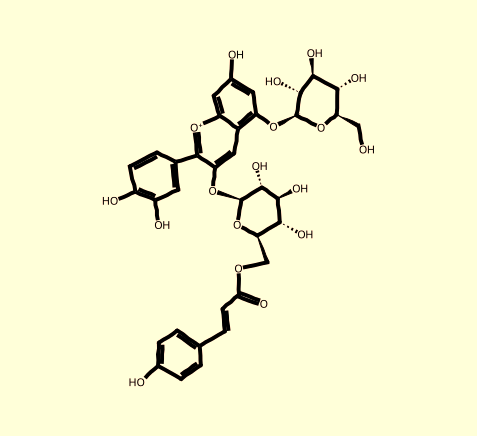 O=C(/C=C/c1ccc(O)cc1)OC[C@H]1O[C@@H](Oc2cc3c(O[C@@H]4O[C@H](CO)[C@@H](O)[C@H](O)[C@H]4O)cc(O)cc3[o+]c2-c2ccc(O)c(O)c2)[C@H](O)[C@@H](O)[C@@H]1O